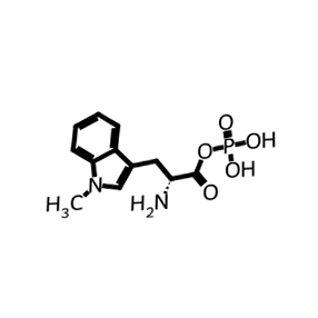 Cn1cc(C[C@@H](N)C(=O)OP(=O)(O)O)c2ccccc21